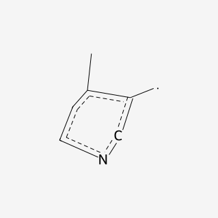 [CH2]c1cnccc1C